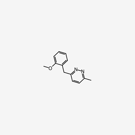 COc1ccccc1Cc1ccc(C)nn1